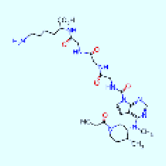 C[C@@H]1CCN(C(=O)CC#N)C[C@@H]1N(C)c1ncnc2c1ccn2C(=O)NCC(=O)NCC(=O)NCC(=O)NC(CCCCN)C(=O)O